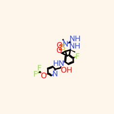 CN1C(=N)N[C@](C)(c2cc(NC(O)c3ccc(OC(F)F)cn3)ccc2F)C2(CC2)S1(=O)=O